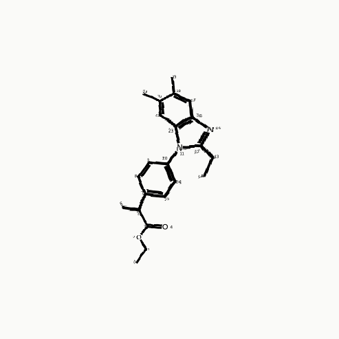 CCOC(=O)C(C)c1ccc(-n2c(CC)nc3cc(C)c(C)cc32)cc1